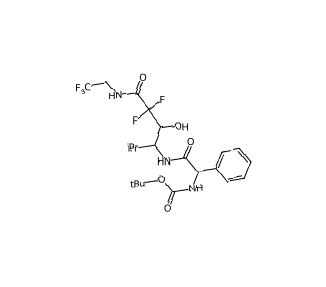 CC(C)C(NC(=O)C(NC(=O)OC(C)(C)C)c1ccccc1)C(O)C(F)(F)C(=O)NCC(F)(F)F